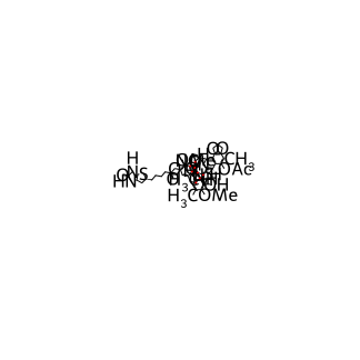 COc1cc2c(cc1OC(=O)CCCC[C@H]1CC3NC(=O)NC3S1)CCN[C@]21CS[C@@H]2c3c(OC(C)=O)c(C)c4c(c3[C@H](COC1=O)N1C2[C@H]2c3c(cc(C)c(OC)c3O)C[C@@H]([C@@H]1C#N)N2C)OCO4